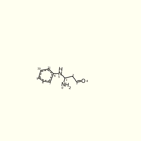 NC(CC=O)Nc1ccccc1